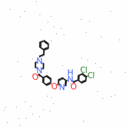 O=C(Nc1ccc(Oc2ccc(C(=O)N3CCN(CCc4ccccc4)CC3)cc2)nc1)c1ccc(Cl)c(Cl)c1